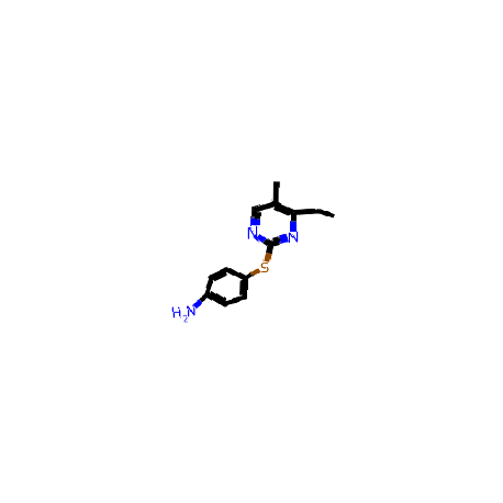 CCc1nc(Sc2ccc(N)cc2)ncc1C